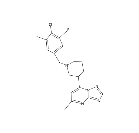 Cc1cc(C2CCCN(Cc3cc(F)c(Cl)c(I)c3)C2)n2ncnc2n1